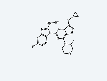 CC(C)Nc1nc2cc(F)ccc2n1-c1nc(N2CCOCC2C)c2cnn(SC3CC3)c2n1